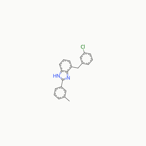 Cc1cccc(-c2nc3c(Cc4cccc(Cl)c4)cccc3[nH]2)c1